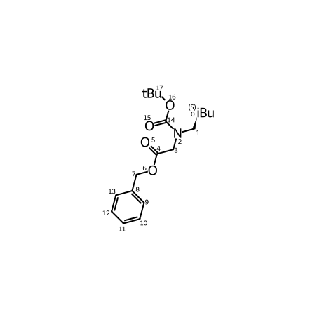 CC[C@H](C)CN(CC(=O)OCc1ccccc1)C(=O)OC(C)(C)C